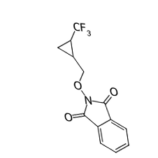 O=C1c2ccccc2C(=O)N1OCC1CC1C(F)(F)F